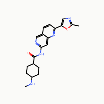 CNC1CCC(C(=O)Nc2cc3nc(-c4cnc(C)o4)ccc3cn2)CC1